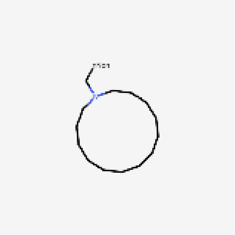 CCCCCCCCCCN1CCCCCCCCCCCCC1